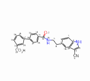 N#Cc1c[nH]c2ccc(CCNC(=O)c3ccc(-c4cccc(C(=O)O)c4)cc3)cc12